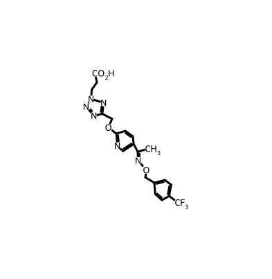 C/C(=N\OCc1ccc(C(F)(F)F)cc1)c1ccc(OCc2nnn(CCC(=O)O)n2)nc1